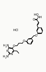 CCc1nc(N)nc(N)c1OCCCOc1cccc(COc2cccc(/C=C/C(=O)NO)c2)c1.Cl